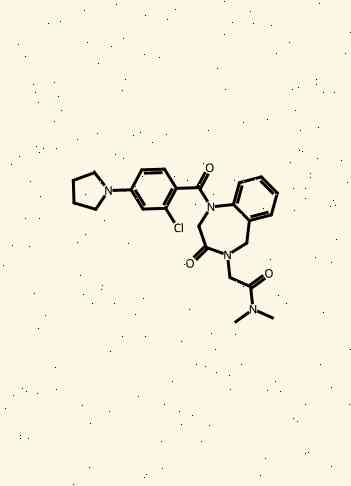 CN(C)C(=O)CN1Cc2ccccc2N(C(=O)c2ccc(N3CCCC3)cc2Cl)CC1=O